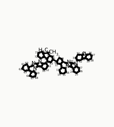 CC1(C)c2cc(-c3ccc4c(c3)c3ccccc3n3c4nc4c3c3ccccc3n4-c3ccc4oc5ccccc5c4c3)ccc2-c2c(-n3c4ccccc4c4c3nc3c5ccccc5c5ccccc5n34)cccc21